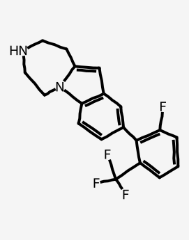 Fc1cccc(C(F)(F)F)c1-c1ccc2c(c1)cc1n2CCNCC1